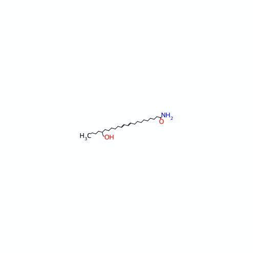 CCCCC(CO)CCCCCC=CC=CCCCCCCCCC(N)=O